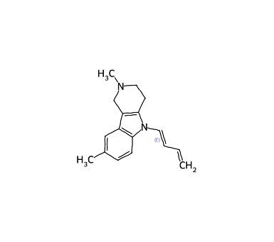 C=C/C=C/n1c2c(c3cc(C)ccc31)CN(C)CC2